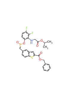 CC(C)OC(=O)CNc1c(O[P+]([O-])=Cc2ccc3sc(C(=O)OCc4ccccc4)cc3c2)ccc(F)c1F